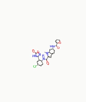 Cn1c(C(=O)Nc2ccc(Cl)cc2-c2noc(=O)[nH]2)cc2ccc(NC(=O)c3ccco3)cc21